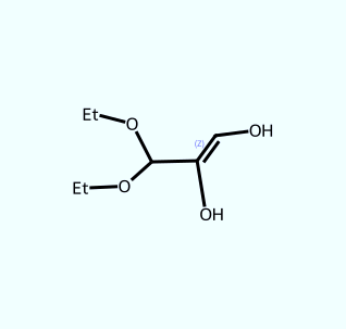 CCOC(OCC)/C(O)=C/O